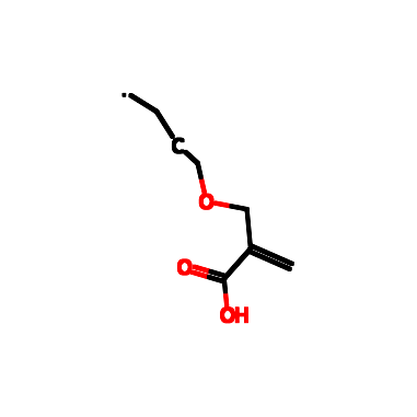 [CH2]CCCOCC(=C)C(=O)O